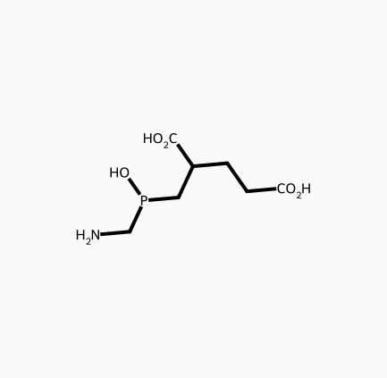 NCP(O)CC(CCC(=O)O)C(=O)O